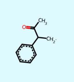 [CH2]C(C(C)=O)c1ccccc1